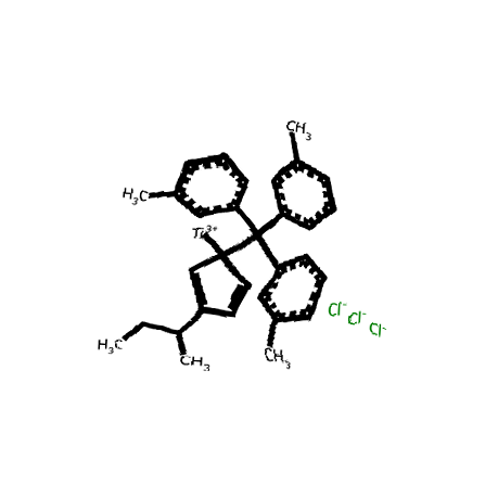 CCC(C)C1=C[C]([Ti+3])(C(c2cccc(C)c2)(c2cccc(C)c2)c2cccc(C)c2)C=C1.[Cl-].[Cl-].[Cl-]